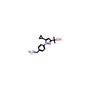 CC(C)(O)c1cc(C2CC2)n(-c2ccc(CN)cc2)n1